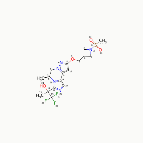 C[C@H]1Cn2nc(OCC3CN(S(C)(=O)=O)C3)cc2-c2cnc(C(C)(O)C(F)(F)F)n21